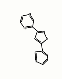 c1cncc(-c2cc(-c3cnccn3)no2)c1